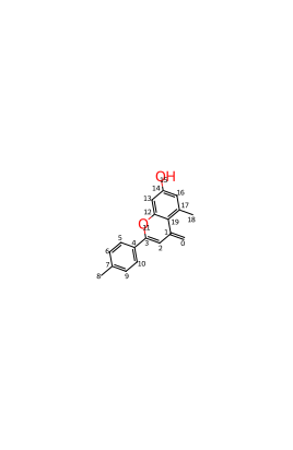 C=C1C=C(c2ccc(C)cc2)Oc2cc(O)cc(C)c21